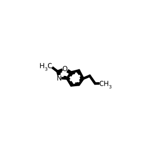 CCCc1ccc2nc(C)oc2c1